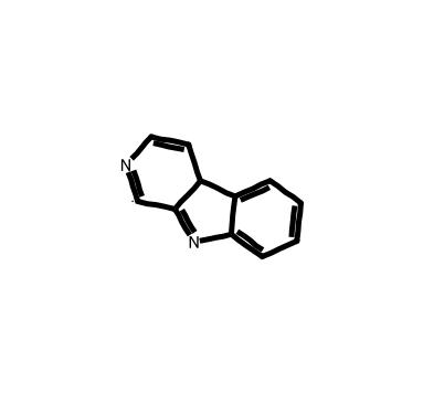 [C]1=NC=CC2C1=Nc1ccccc12